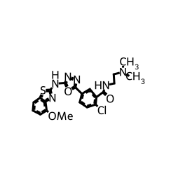 COc1cccc2sc(Nc3nnc(-c4ccc(Cl)c(C(=O)NCCN(C)C)c4)o3)nc12